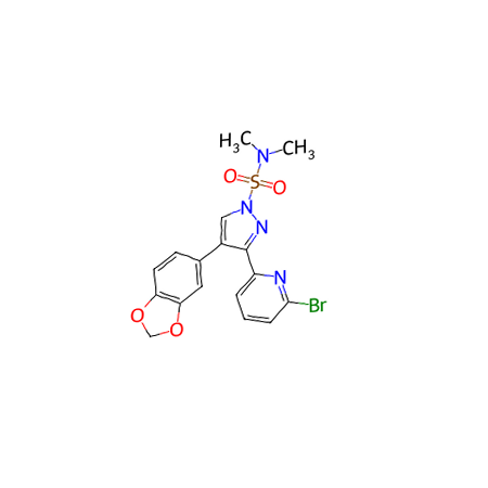 CN(C)S(=O)(=O)n1cc(-c2ccc3c(c2)OCO3)c(-c2cccc(Br)n2)n1